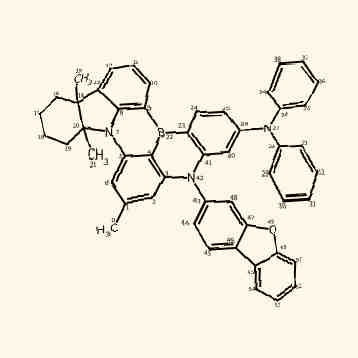 Cc1cc2c3c(c1)N1c4c(cccc4C4(C)CCCCC14C)B3c1ccc(N(c3ccccc3)c3ccccc3)cc1N2c1ccc2c(c1)oc1ccccc12